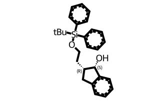 CC(C)(C)[Si](OCC[C@H]1Cc2ccccc2[C@H]1O)(c1ccccc1)c1ccccc1